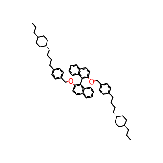 CCC[C@H]1CC[C@H](CCCCc2ccc(COc3ccc4ccccc4c3-c3c(OCc4ccc(CCCC[C@H]5CC[C@H](CCC)CC5)cc4)ccc4ccccc34)cc2)CC1